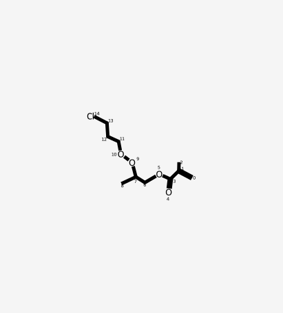 C=C(C)C(=O)OCC(C)OOCCCCl